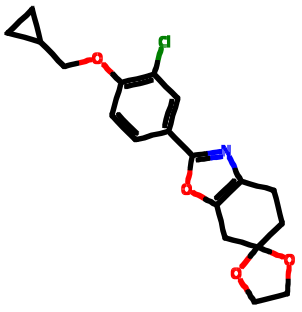 Clc1cc(-c2nc3c(o2)CC2(CC3)OCCO2)ccc1OCC1CC1